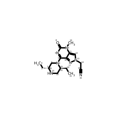 CC[C@@H]1CN(c2nc(=O)n(C)c3cn(CC#N)nc23)[C@@H](CC)CN1